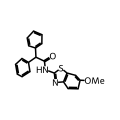 COc1ccc2nc(NC(=O)C(c3ccccc3)c3ccccc3)sc2c1